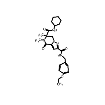 CCOc1ccc(CNC(=O)c2cc3n(n2)CC(C)(C(=O)NC2CCCCC2)N(C)C3=O)cc1